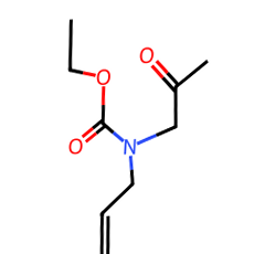 C=CCN(CC(C)=O)C(=O)OCC